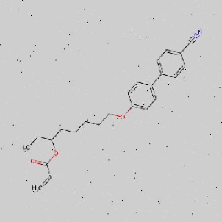 C=CC(=O)OC(CC)CCCCCOc1ccc(-c2ccc(C#N)cc2)cc1